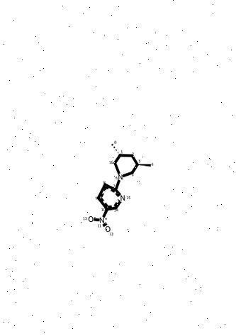 C[C@@H]1C[C@@H](C)CN(c2ccc([N+](=O)[O-])cn2)C1